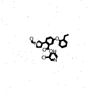 CCc1ccccc1Oc1ccc(C2CCN(C=O)C2)c(C(=O)O)c1.Clc1cccnc1